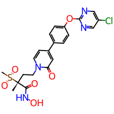 C[C@@](CCn1ccc(-c2ccc(Oc3ncc(Cl)cn3)cc2)cc1=O)(C(=O)NO)S(C)(=O)=O